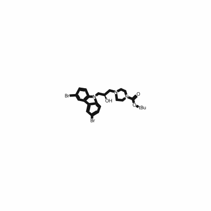 CC(C)(C)OC(=O)N1CCN(C[C@@H](O)Cn2c3ccc(Br)cc3c3cc(Br)ccc32)CC1